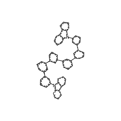 c1cc(-c2cccc(-c3cccc(-c4cccc(-n5c6ccccc6c6ccccc65)c4)c3)c2)cc(-c2cccc(-c3cccc(-n4c5ccccc5c5ccccc54)c3)c2)c1